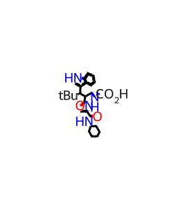 CC(C)(C)C(c1c[nH]c2ccccc12)C(CNC(=O)O)c1nc(C(=O)NC2CCCCC2)co1